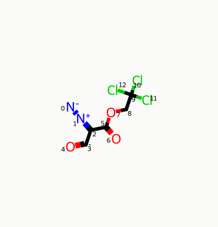 [N-]=[N+]=C([C]=O)C(=O)OCC(Cl)(Cl)Cl